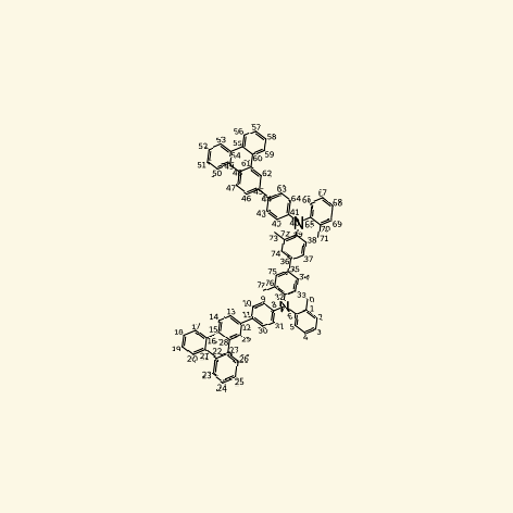 Cc1ccccc1N(c1ccc(-c2ccc3c4ccccc4c4ccccc4c3c2)cc1)c1ccc(-c2ccc(N(c3ccc(-c4ccc5c6ccccc6c6ccccc6c5c4)cc3)c3ccccc3C)c(C)c2)cc1C